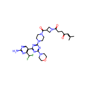 CC(C)=CC(=O)CCC(=O)N1CC(C(=O)N2CCN(c3nc(-c4cnc(N)nc4C(F)F)nc(N4CCOCC4)n3)CC2)C1